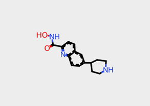 O=C(NO)c1ccc2cc(C3CCNCC3)ccc2n1